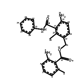 Cc1cccc(N)c1C(=O)OCc1ccc(N)c(C(=O)Nc2ccccc2)c1C